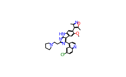 COc1cc2c(cc1-c1c(C)noc1C)[nH]c1nc(CCN3CCCCC3)nc(-c3ccnc4ccc(Cl)cc34)c12